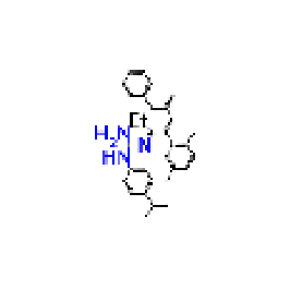 C=C(/C=C(\C(CC)=N\C(N)Nc1ccc(C(=C)C)cc1)c1cc(C)ccc1C)Cc1ccccc1